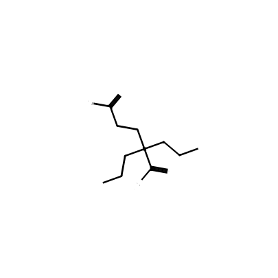 CCCC(CCC)(CCC(N)=O)C(N)=O